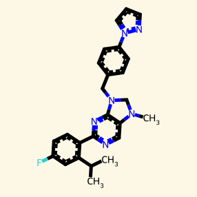 CC(C)c1cc(F)ccc1-c1ncc2c(n1)N(Cc1ccc(-n3cccn3)cc1)CN2C